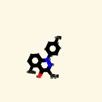 COc1cccc2c1c(=O)c(C(=O)O)nn2-c1ccc(C#N)cc1